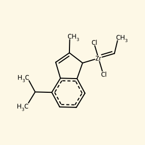 C[CH]=[Zr]([Cl])([Cl])[CH]1C(C)=Cc2c(C(C)C)cccc21